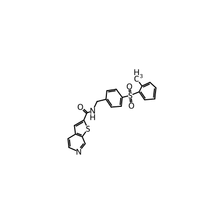 Cc1ccccc1S(=O)(=O)c1ccc(CNC(=O)c2cc3ccncc3s2)cc1